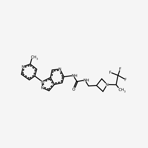 Cc1cc(-n2ncc3cc(NC(=O)NCC4CN(C(C)C(F)(F)F)C4)ncc32)ccn1